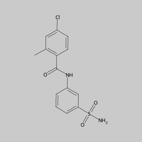 Cc1cc(Cl)ccc1C(=O)Nc1cccc(S(N)(=O)=O)c1